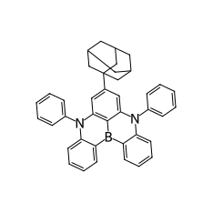 c1ccc(N2c3ccccc3B3c4ccccc4N(c4ccccc4)c4cc(C56CC7CC(CC(C7)C5)C6)cc2c43)cc1